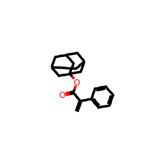 C=C(C(=O)OC12CC3CC(CC(C3)C1)C2)c1ccccc1